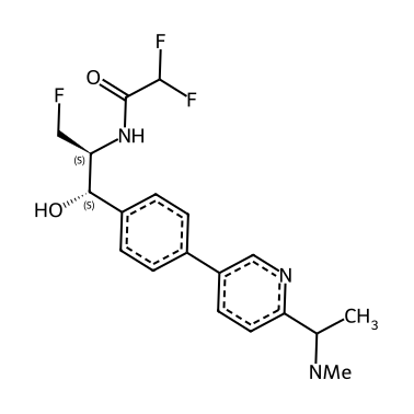 CNC(C)c1ccc(-c2ccc([C@H](O)[C@@H](CF)NC(=O)C(F)F)cc2)cn1